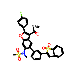 CNC(=O)c1c(-c2ccc(F)cc2)oc2cc(N(C)S(C)(=O)=O)c(-c3cccc(C4=Cc5ccccc5S4(=O)=O)c3)cc12